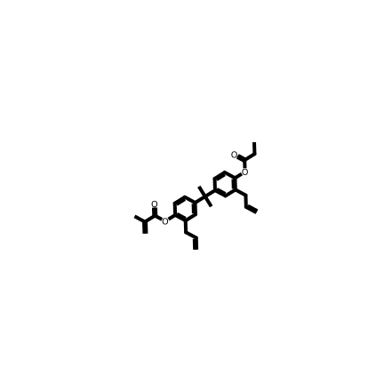 C=CCc1cc(C(C)(C)c2ccc(OC(=O)C(=C)C)c(CC=C)c2)ccc1OC(=O)CC